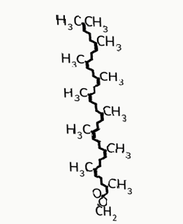 C=COC(=O)C=C(C)CCC=C(C)CCC=C(C)CCC=C(C)CCC=C(C)CCC=C(C)CCC=C(C)CCC=C(C)CCC=C(C)CCC=C(C)C